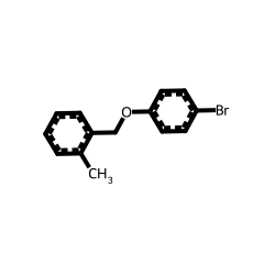 Cc1ccccc1COc1ccc(Br)cc1